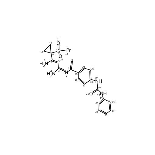 C=C(/N=C(N)\C=C(/N)C1(S(=O)(=O)C(C)C)CC1)c1ccc(NC(=O)Nc2ccccn2)cc1